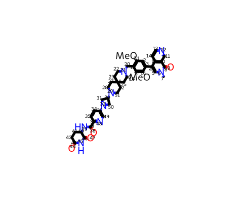 COc1cc(-c2cn(C)c(=O)c3cnccc23)cc(OC)c1CN1CCC2(CC1)CCN(C1CN(c3ccc(C(=O)NC4CCC(=O)NC4=O)nc3)C1)CC2